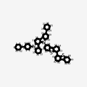 c1ccc(-c2ccc(-n3c4ccccc4c4c3ccc3c5cc(-c6ccccc6)ccc5n(-c5ccc6sc7c(-c8cccc9c8sc8ccccc89)cccc7c6c5)c34)cc2)cc1